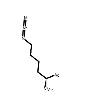 CN[C@@H](CCCCN=[N+]=[N-])C(C)=O